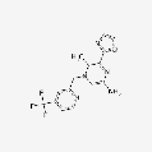 CC1C(c2ncco2)=NC(N)=CN1Cc1cc(C(F)(F)F)ccn1